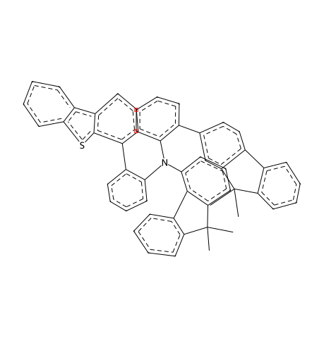 CC1(C)c2ccccc2-c2ccc(-c3ccccc3N(c3ccccc3-c3cccc4c3sc3ccccc34)c3cccc4c3-c3ccccc3C4(C)C)cc21